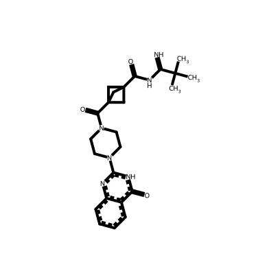 CC(C)(C)C(=N)NC(=O)C12CC(C(=O)N3CCN(c4nc5ccccc5c(=O)[nH]4)CC3)(C1)C2